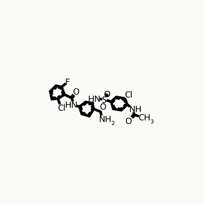 CC(=O)Nc1ccc(S(=O)(=O)Nc2cc(NC(=O)c3c(F)cccc3Cl)ccc2CN)cc1Cl